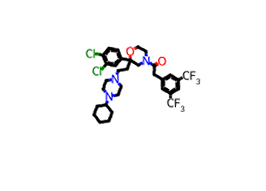 O=C(Cc1cc(C(F)(F)F)cc(C(F)(F)F)c1)N1CCOC(CCN2CCN(C3CCCCC3)CC2)(c2ccc(Cl)c(Cl)c2)C1